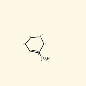 O=C(O)C1=CCCSC1